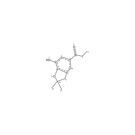 CCC(=O)c1cc(O)c2c(c1)CC(C)(C)O2